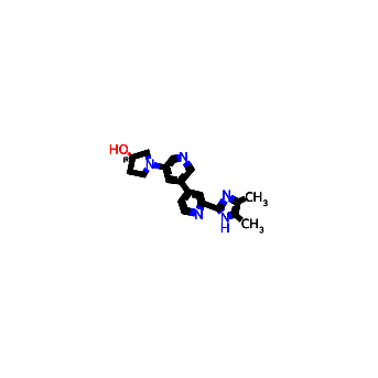 Cc1nc(-c2cc(-c3cncc(N4CC[C@@H](O)C4)c3)ccn2)[nH]c1C